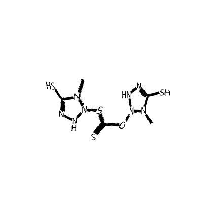 CN1C(S)=NNN1OC(=S)SN1NN=C(S)N1C